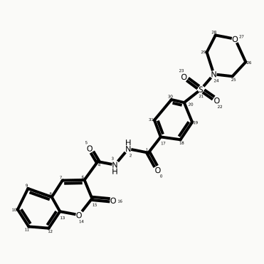 O=C(NNC(=O)c1cc2ccccc2oc1=O)c1ccc(S(=O)(=O)N2CCOCC2)cc1